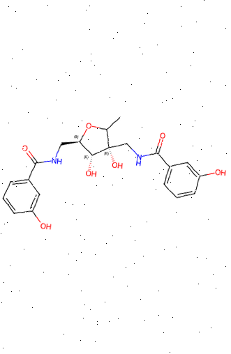 CC1O[C@H](CNC(=O)c2cccc(O)c2)[C@@H](O)[C@]1(O)CNC(=O)c1cccc(O)c1